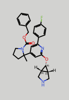 CC1(c2cc(O[C@@H]3[C@@H]4CNC[C@@H]43)nc(-c3ccc(F)cc3)c2)CCCN1C(=O)OCc1ccccc1